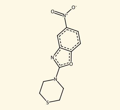 O=[N+]([O-])c1ccc2oc(N3CCSCC3)nc2c1